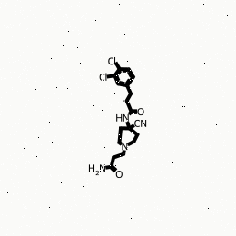 N#CC1(NC(=O)[CH]Cc2ccc(Cl)c(Cl)c2)CCN(CCC(N)=O)CC1